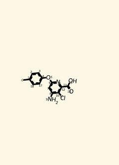 Cc1ccc(Oc2cc(N)c(Cl)c(C(=O)O)n2)cc1